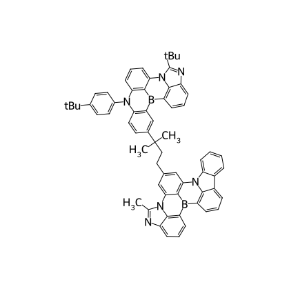 Cc1nc2cccc3c2n1-c1cc(CCC(C)(C)c2ccc4c(c2)B2c5c(cccc5-n5c(C(C)(C)C)nc6cccc2c65)N4c2ccc(C(C)(C)C)cc2)cc2c1B3c1cccc3c4ccccc4n-2c13